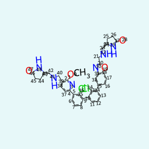 COc1nc(-c2cccc(-c3cccc(-c4ccc5oc(CNC[C@H]6CCC(=O)N6)nc5c4)c3Cl)c2Cl)ccc1CNC[C@H]1CCC(=O)N1